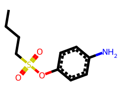 CCCCS(=O)(=O)Oc1ccc(N)cc1